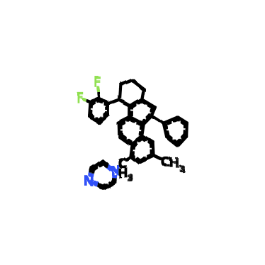 Cc1cc(C)c2ccc3c4c(cc(-c5ccccc5)c3c2c1)CCCC4c1cccc(F)c1F.c1cnccn1